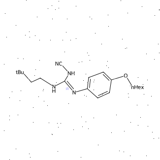 CCCCCCOc1ccc(/N=C(\NC#N)NCCC(C)(C)C)cc1